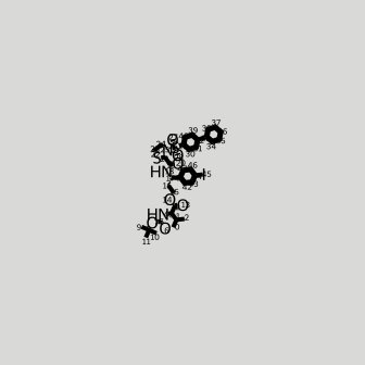 CC(C)C(NC(=O)OC(C)(C)C)C(=O)OCC[C@H](NC(=O)C1SCCN1S(=O)(=O)c1ccc(-c2ccccc2)cc1)c1ccc(I)cc1